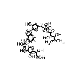 CC(C)[C@@H](O)[C@H](O)C(=O)NP(=O)(O)OC[C@@H]1C[C@H](O)C(n2cnc3c(NP(=O)(O)OC4O[C@@H]([C@H](O)CO)[C@H](O)[C@H]4O)ncnc32)O1